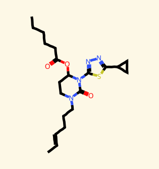 CC=CCCCN1CCC(OC(=O)CCCCC)N(c2nnc(C3CC3)s2)C1=O